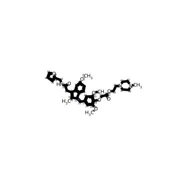 COc1ccc2c(c1)C(CC(=O)NCc1ccco1)=C(C)/C2=C/c1cc(OC)c(OCC(=O)OCCN2CCN(C)CC2)c(OC)c1